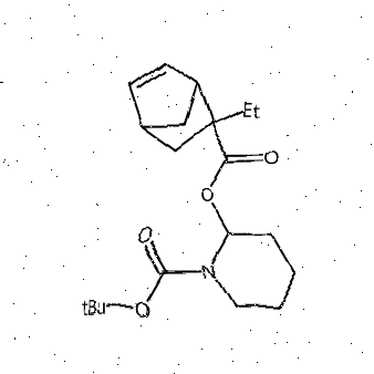 CCC1(C(=O)OC2CCCCN2C(=O)OC(C)(C)C)CC2C=CC1C2